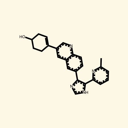 Cc1cccc(-c2[nH]cnc2-c2ccc3ncc(C4=CCC(O)CC4)cc3c2)n1